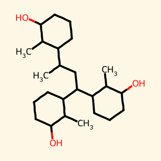 CC(CC(C1CCCC(O)C1C)C1CCCC(O)C1C)C1CCCC(O)C1C